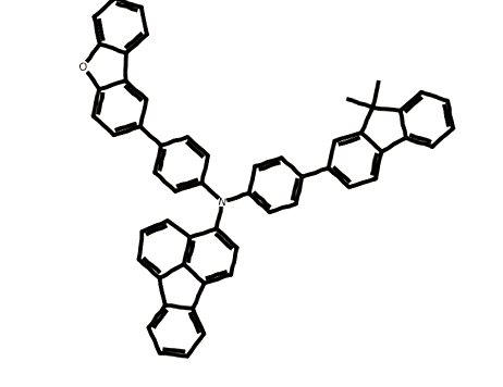 CC1(C)c2ccccc2-c2ccc(-c3ccc(N(c4ccc(-c5ccc6oc7ccccc7c6c5)cc4)c4ccc5c6c(cccc46)-c4ccccc4-5)cc3)cc21